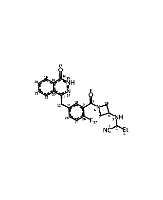 CCC(C#N)NC1CN(C(=O)c2cc(Cc3n[nH]c(=O)c4ccccc34)ccc2F)C1